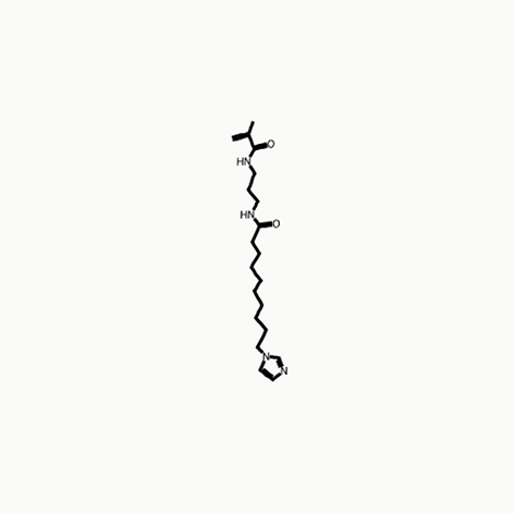 C=C(C)C(=O)NCCCNC(=O)CCCCCCCCCn1ccnc1